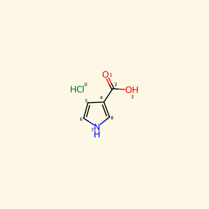 Cl.O=C(O)c1cc[nH]c1